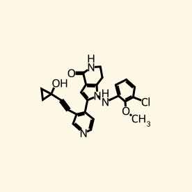 COc1c(Cl)cccc1Nn1c(-c2ccncc2C#CC2(O)CC2)cc2c1CCNC2=O